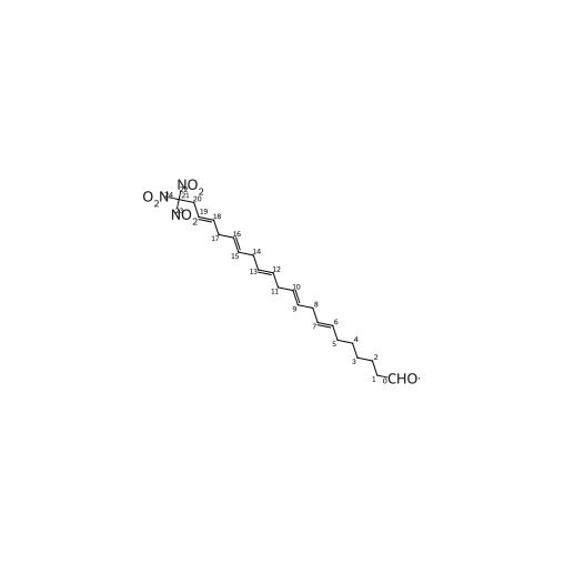 O=[C]CCCCCC=CCC=CCC=CCC=CCC=CCC([N+](=O)[O-])([N+](=O)[O-])[N+](=O)[O-]